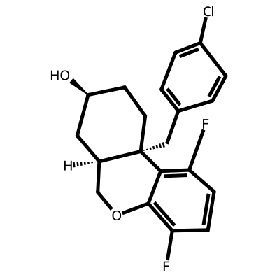 O[C@H]1CC[C@@]2(Cc3ccc(Cl)cc3)c3c(F)ccc(F)c3OC[C@H]2C1